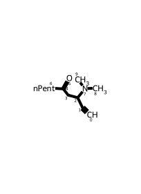 C#CC(CC(=O)CCCCC)N(C)C